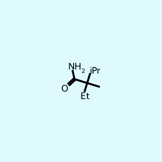 [CH2]CC(C)(C(N)=O)C(C)C